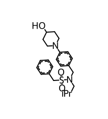 CC(C)CN(Cc1ccc(N2CCC(O)CC2)cc1)S(=O)(=O)Cc1ccccc1